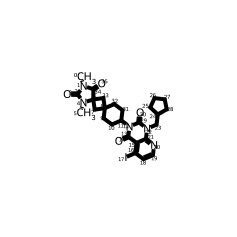 CN1C(=O)N(C)C2(CC3(CCC(n4c(=O)c5c(I)ccnc5n(CC5CCCC5)c4=O)CC3)C2)C1=O